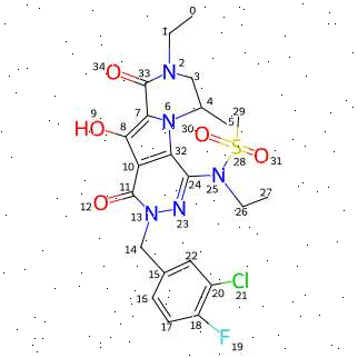 CCN1CC(C)n2c(c(O)c3c(=O)n(Cc4ccc(F)c(Cl)c4)nc(N(CC)S(C)(=O)=O)c32)C1=O